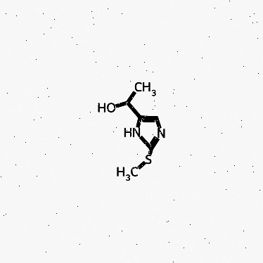 CSc1ncc(C(C)O)[nH]1